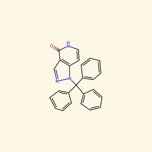 O=c1[nH]ccc2c1cnn2C(c1ccccc1)(c1ccccc1)c1ccccc1